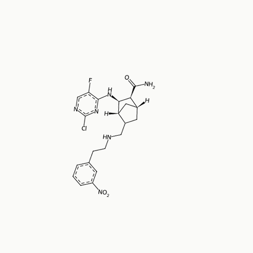 NC(=O)[C@H]1[C@@H]2CC(CNCCc3cccc([N+](=O)[O-])c3)[C@@H](C2)[C@H]1Nc1nc(Cl)ncc1F